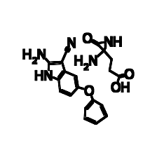 N#Cc1c(N)[nH]c2ccc(Oc3ccccc3)cc12.NC1(CCC(=O)O)NC1=O